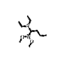 CCC[CH](N(CC)CC)[Ti]([O]C)[O]C